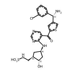 N[C@@H](c1cccc(Cl)c1)c1csc(C(=O)c2cncnc2N[C@H]2C[C@H](O)[C@@H]([CH]NS(=O)(=O)O)C2)c1